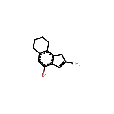 CC1=Cc2c(Br)cc3c(c2C1)CCCC3